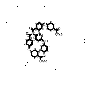 COC(=O)C1CCC(Oc2ccc(C(=O)N(C(=O)c3ccc(OC4CCC(C(=O)OC)CC4)cc3)c3ccc(Nc4ccccc4)nn3)cc2)CC1